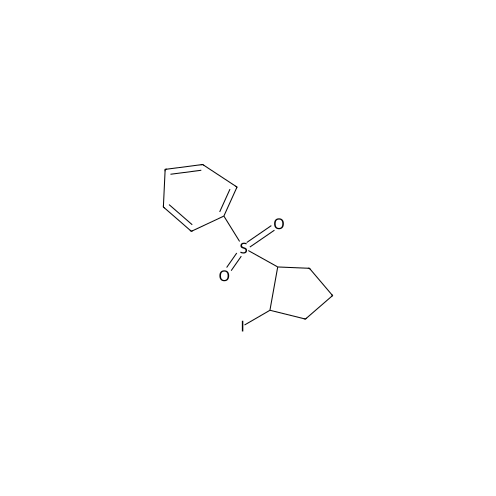 O=S(=O)(c1ccccc1)C1CCCC1I